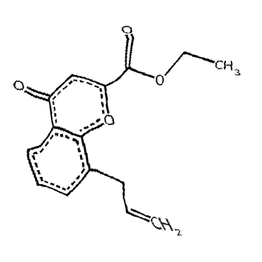 C=CCc1cccc2c(=O)cc(C(=O)OCC)oc12